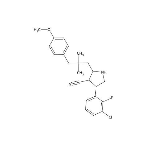 COc1ccc(CC(C)(C)CC2NCC(c3cccc(Cl)c3F)C2C#N)cc1